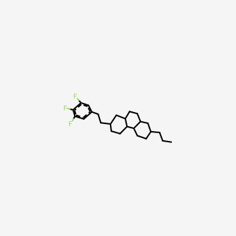 CCCC1CCC2C(CCC3CC(CCc4cc(F)c(F)c(F)c4)CCC32)C1